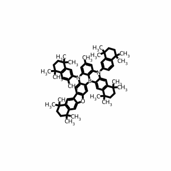 Cc1cc2c3c(c1)N(c1cc4c(cc1C)C(C)(C)CCC4(C)C)c1cc4c(cc1B3c1cc3c(cc1N2c1ccc2c(c1)C(C)(C)CCC2(C)C)C(C)(C)CCC3(C)C)oc1cc2c(cc14)C(C)(C)CCC2(C)C